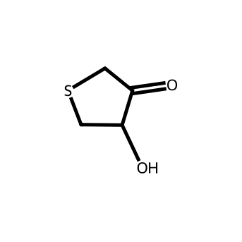 O=C1CSCC1O